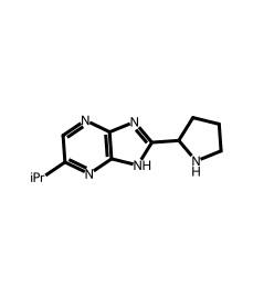 CC(C)c1cnc2nc(C3CCCN3)[nH]c2n1